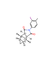 Cc1ccc(N2C(=O)[C@@H]3[C@@H]4CC[C@@H]([C@@H]5C[C@@H]54)[C@@H]3C2=O)cc1I